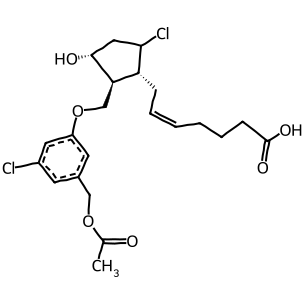 CC(=O)OCc1cc(Cl)cc(OC[C@H]2[C@H](O)CC(Cl)[C@@H]2C/C=C\CCCC(=O)O)c1